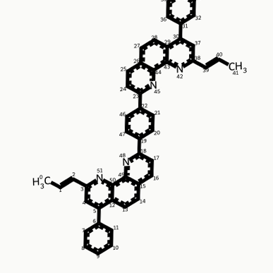 C/C=C/c1cc(-c2ccccc2)c2ccc3ccc(-c4ccc(-c5ccc6ccc7c(-c8ccccc8)cc(/C=C/C)nc7c6n5)cc4)nc3c2n1